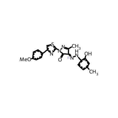 COc1ccc(-c2csc(N3N=C(C)/C(=N\Nc4ccc(C)cc4O)C3=O)n2)cc1